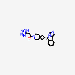 O=C(Cc1nnn[nH]1)N1CCC2(CC1)CC([C@H]1C3C=CC=CC3c3cncn31)C2